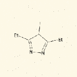 CCC1=NN=C(CC)C1C